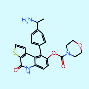 CC(N)c1ccc(-c2c(OC(=O)N3CCOCC3)ccc3[nH]c(=O)c4sccc4c23)cc1